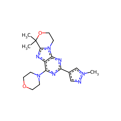 Cn1cc(-c2nc(N3CCOCC3)c3nc4n(c3n2)CCOC4(C)C)cn1